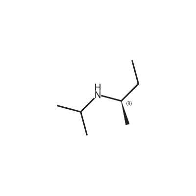 CC[C@@H](C)NC(C)C